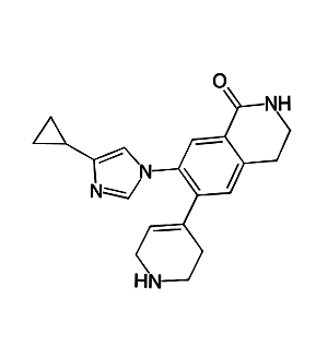 O=C1NCCc2cc(C3=CCNCC3)c(-n3cnc(C4CC4)c3)cc21